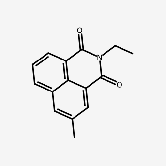 CCN1C(=O)c2cccc3cc(C)cc(c23)C1=O